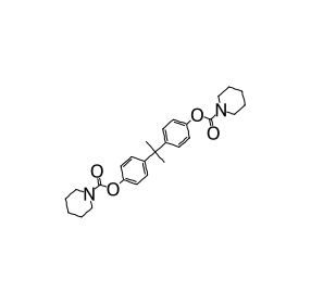 CC(C)(c1ccc(OC(=O)N2CCCCC2)cc1)c1ccc(OC(=O)N2CCCCC2)cc1